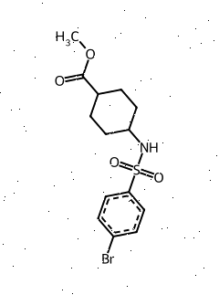 COC(=O)C1CCC(NS(=O)(=O)c2ccc(Br)cc2)CC1